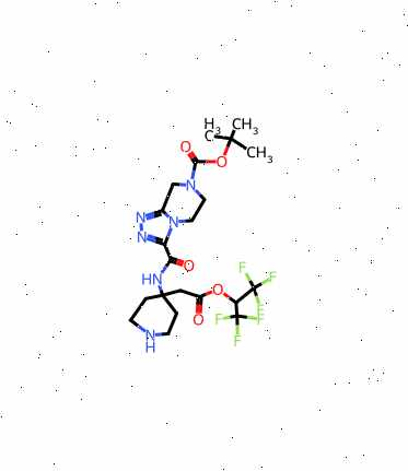 CC(C)(C)OC(=O)N1CCn2c(nnc2C(=O)NC2(CC(=O)OC(C(F)(F)F)C(F)(F)F)CCNCC2)C1